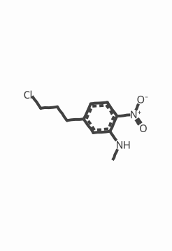 CNc1cc(CCCCl)ccc1[N+](=O)[O-]